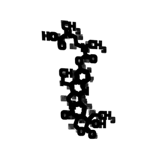 CCc1c2c(nc3ccc(OC(=O)N(C)CCN(C)C(=O)O)cc13)-c1cc3c(c(=O)n1C2)COC(=O)C3(O)CC